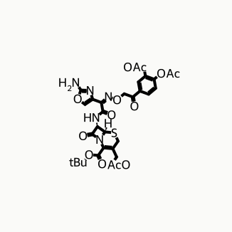 CC(=O)OCC1=C(C(=O)OC(C)(C)C)N2C(=O)[C@H](NC(=O)/C(=N\OCC(=O)c3ccc(OC(C)=O)c(OC(C)=O)c3)c3coc(N)n3)[C@H]2SC1